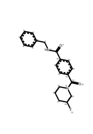 O=C(NCc1ccccc1)c1ccc(C(=O)N2CCCC(F)C2)cc1